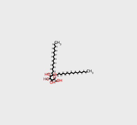 CCCCCCCCCCCCCCCCOC1(CCCCCCCCCCCCCCCC)O[C@H](CO)[C@H](O)[C@H](O)[C@H]1O